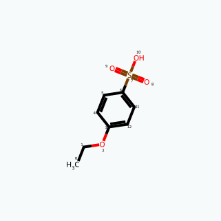 CCOc1ccc(S(=O)(=O)O)cc1